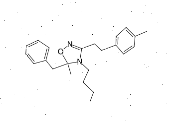 CCCCN1C(CCc2ccc(C)cc2)=NOC1(C)Cc1ccccc1